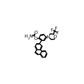 NC(=O)Oc1ccc(N2CCOC(C(F)(F)F)C2)cc1-c1ccc2ccc3ccccc3c2c1